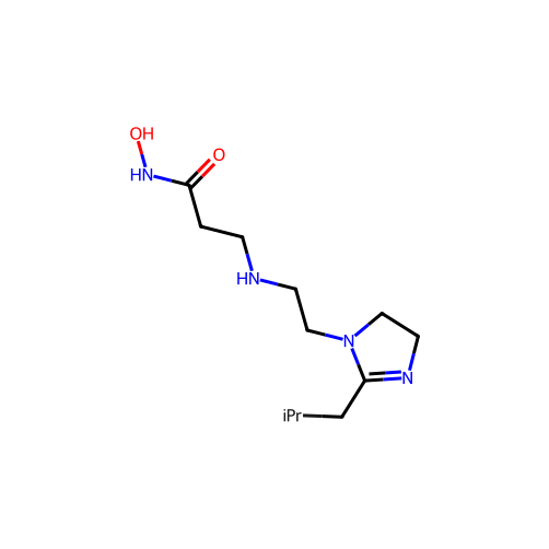 CC(C)CC1=NCCN1CCNCCC(=O)NO